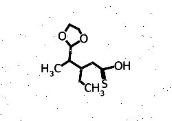 CCC(CC(O)=S)C(C)C1OCCO1